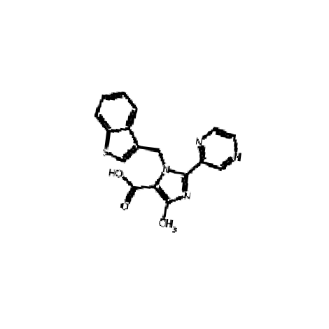 Cc1nc(-c2cnccn2)n(Cc2csc3ccccc23)c1C(=O)O